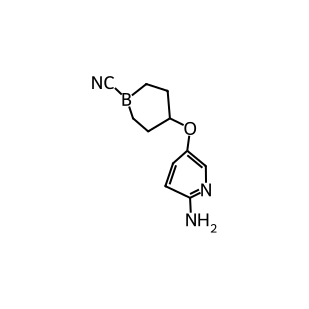 N#CB1CCC(Oc2ccc(N)nc2)CC1